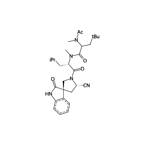 CC(=O)N(C)C(CC(C)(C)C)C(=O)N(C)[C@@H](CC(C)C)C(=O)N1C[C@]2(C[C@H]1C#N)C(=O)Nc1ccccc12